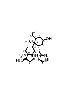 C=C1CC[C@H]2[C@@H](Cc3nc[nH]n3)[C@@H]([C@@]3(C)CC[C@H](O)C[C@@H]3CO)CC[C@]12C